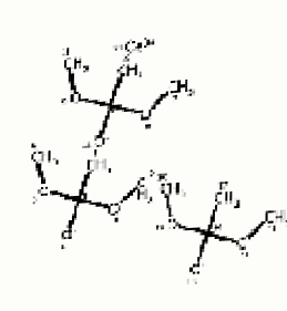 COC(C)([O-])OC.COC(C)([O-])OC.COC(C)([O-])OC.[Ce+3]